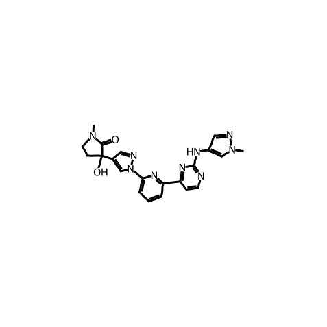 CN1CCC(O)(c2cnn(-c3cccc(-c4ccnc(Nc5cnn(C)c5)n4)n3)c2)C1=O